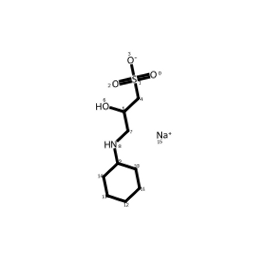 O=S(=O)([O-])CC(O)CNC1CCCCC1.[Na+]